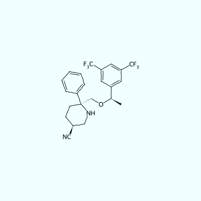 C[C@@H](OC[C@@]1(c2ccccc2)CC[C@H](C#N)CN1)c1cc(C(F)(F)F)cc(C(F)(F)F)c1